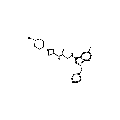 Cc1ccc2c(c1)c(NCC(=O)NC1CN([C@H]3CC[C@@H](C(C)C)CC3)C1)nn2Cc1ccccc1